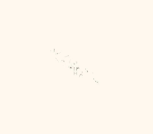 CC(=O)N1CCC(N2CCC[C@H](NS(=O)(=O)c3ccc4cc(Cl)ccc4c3)C2=O)CC1